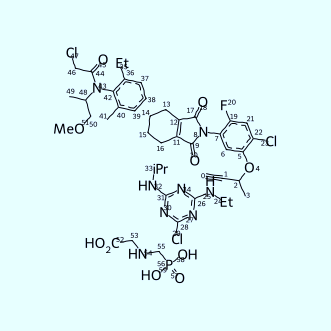 C#CC(C)Oc1cc(N2C(=O)C3=C(CCCC3)C2=O)c(F)cc1Cl.CCNc1nc(Cl)nc(NC(C)C)n1.CCc1cccc(C)c1N(C(=O)CCl)C(C)COC.O=C(O)CNCP(=O)(O)O